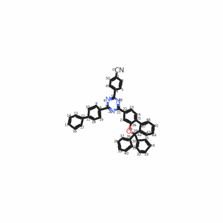 N#Cc1ccc(-c2nc(-c3ccc(-c4ccccc4)cc3)nc(-c3ccc4c(c3)OC(c3ccccc3)(c3ccccc3)c3ccccc3-4)n2)cc1